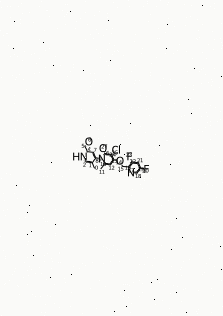 CC1=CNC(C=O)C=C1n1c(C)cc(OCc2ncc(F)cc2F)c(Cl)c1=O